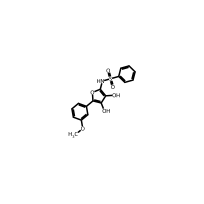 COc1cccc(-c2oc(NS(=O)(=O)c3ccccc3)c(O)c2O)c1